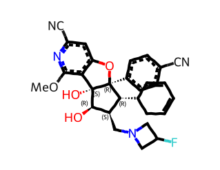 COc1nc(C#N)cc2c1[C@]1(O)[C@H](O)[C@H](CN3CC(F)C3)[C@@H](C3C=CC=CC3)[C@]1(c1ccc(C#N)cc1)O2